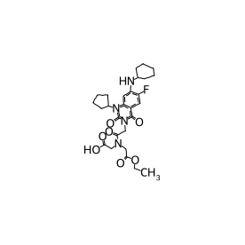 CCOC(=O)CN(CC(=O)O)C(=O)Cn1c(=O)c2cc(F)c(NC3CCCCC3)cc2n(C2CCCC2)c1=O